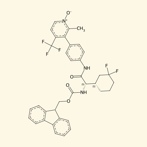 Cc1c(-c2ccc(NC(=O)[C@@H](NC(=O)OCC3c4ccccc4-c4ccccc43)[C@H]3CCCC(F)(F)C3)cc2)c(C(F)(F)F)cc[n+]1[O-]